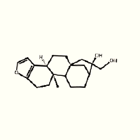 C[C@@]12CCc3occc3[C@H]1CC[C@@]13CC(CCC12)[C@@](O)(CO)C3